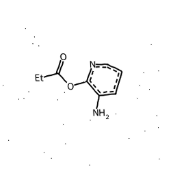 CCC(=O)Oc1ncccc1N